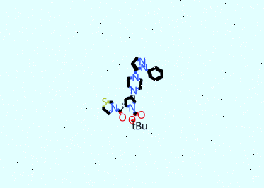 CC(C)(C)OC(=O)N1C[C@@H](N2CCN(c3ccnn3-c3ccccc3)CC2)C[C@H]1C(=O)N1CCSC1